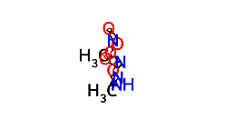 COc1cc2c(Oc3cnc4[nH]c(C)cc4c3)ccnc2cc1OCCC(=O)N1CCC2(CC1)COC2